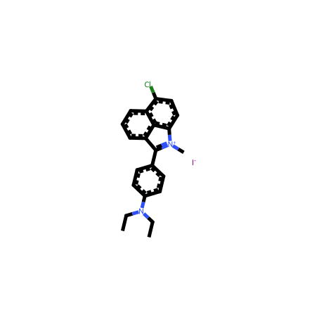 CCN(CC)c1ccc(C2=[N+](C)c3ccc(Cl)c4cccc2c34)cc1.[I-]